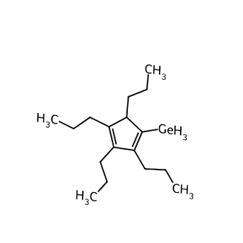 CCCC1=[C]([GeH3])C(CCC)C(CCC)=C1CCC